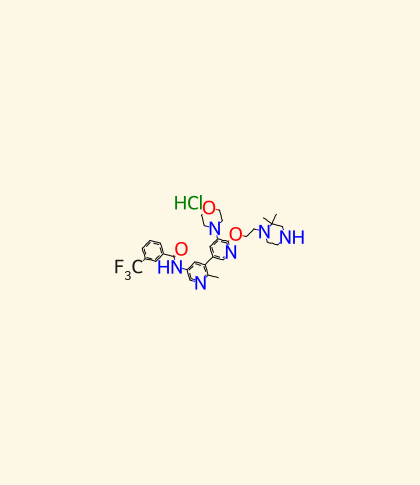 Cc1ncc(NC(=O)c2cccc(C(F)(F)F)c2)cc1-c1cnc(OCCN2CCNCC2(C)C)c(N2CCOCC2)c1.Cl